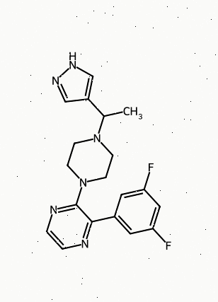 CC(c1cn[nH]c1)N1CCN(c2nccnc2-c2cc(F)cc(F)c2)CC1